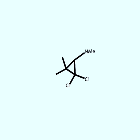 CNC1C(C)(C)C1(Cl)Cl